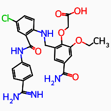 CCOc1cc(C(N)=O)cc(CNc2ccc(Cl)cc2C(=O)Nc2ccc(C(=N)N)cc2)c1OCC(=O)O